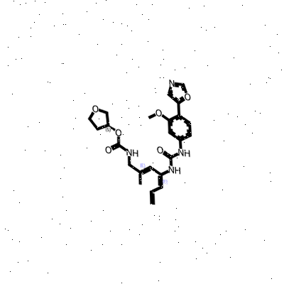 C=C/C=C(\C=C(/C)CNC(=O)O[C@H]1CCOC1)NC(=O)Nc1ccc(-c2cnco2)c(OC)c1